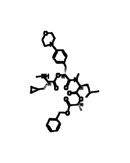 CN[C@@H](CC1CC1)C(=O)O[C@H](Cc1ccc(N2CCOCC2)cc1)C(=O)N(C)[C@@H](CC(C)C)C(=O)O[C@H](C)C(=O)OCc1ccccc1